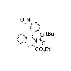 CCOC(=O)C(Cc1ccccc1)N(Cc1cccc([N+](=O)[O-])c1)C(=O)OC(C)(C)C